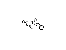 O=C1CCN(C(=O)OCc2ccccc2)C2C(F)C2C1